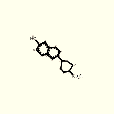 CCOC(=O)C1CCC(c2ccc3cc(O)ccc3c2)CC1